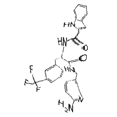 Nc1ccc(CNC(=O)[C@H](Cc2cccc(C(F)(F)F)c2)NC(=O)c2cc3ccccc3[nH]2)cn1